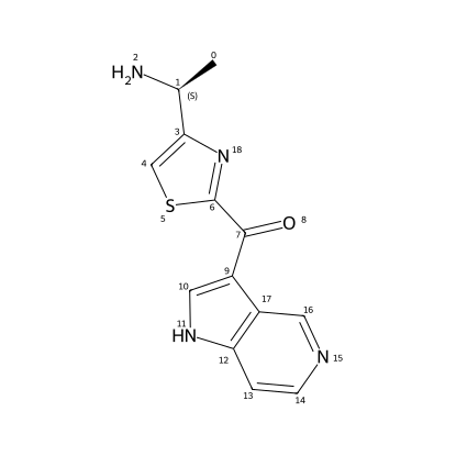 C[C@H](N)c1csc(C(=O)c2c[nH]c3ccncc23)n1